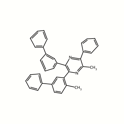 Cc1ccc(-c2ccccc2)cc1-c1nc(C)c(-c2ccccc2)nc1-c1cccc(-c2ccccc2)c1